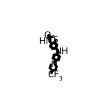 O=C1CSc2cc(Nc3ccc(N4CCC(C(F)(F)F)CC4)cc3)ccc2N1